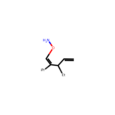 C=CC(CC)/C(=C\ON)C(C)C